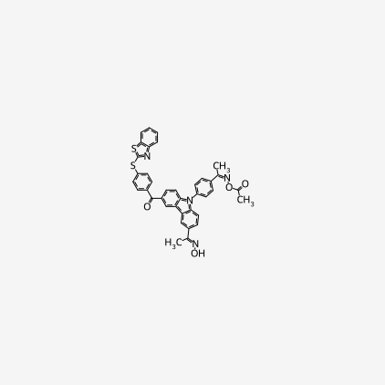 CC(=O)O/N=C(/C)c1ccc(-n2c3ccc(C(=O)c4ccc(Sc5nc6ccccc6s5)cc4)cc3c3cc(/C(C)=N/O)ccc32)cc1